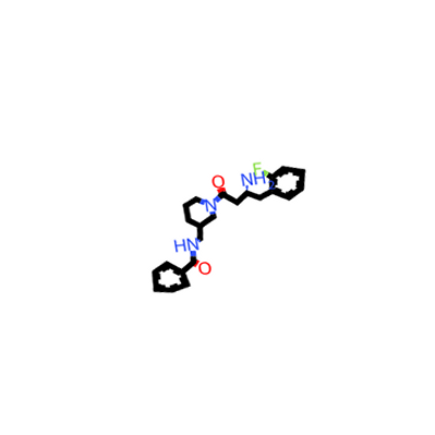 N[C@@H](CC(=O)N1CCCC(CNC(=O)c2ccccc2)C1)Cc1ccccc1F